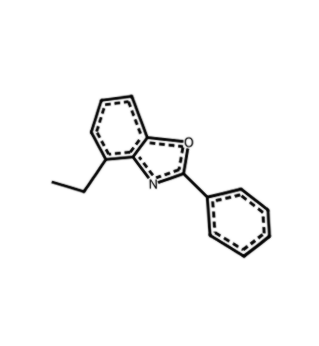 CCc1cccc2oc(-c3ccccc3)nc12